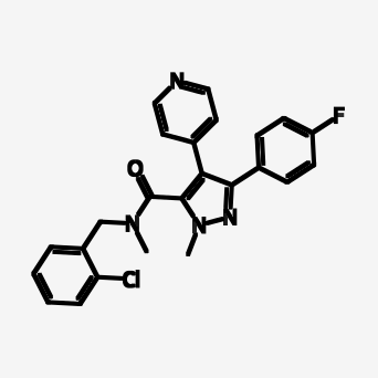 CN(Cc1ccccc1Cl)C(=O)c1c(-c2ccncc2)c(-c2ccc(F)cc2)nn1C